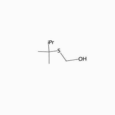 CC(C)C(C)(C)SCO